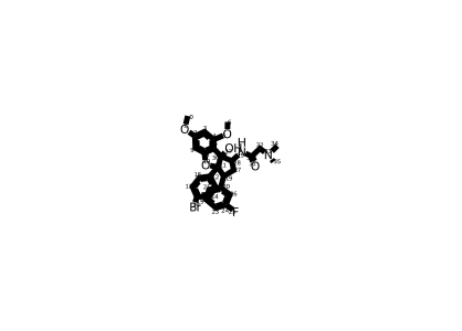 COc1cc(OC)c2c(c1)OC1(c3ccc(Br)cc3)C(c3cccc(F)c3)CC(NC(=O)CN(C)C)C21O